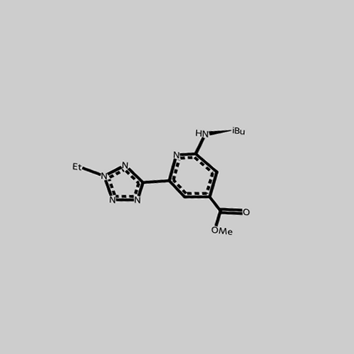 CC[C@H](C)Nc1cc(C(=O)OC)cc(-c2nnn(CC)n2)n1